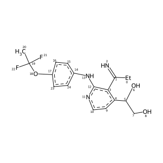 CCC(=N)c1c(C(O)CO)ccnc1Nc1ccc(OC(C)(F)F)cc1